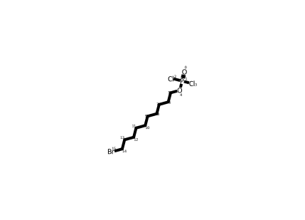 O=P(Cl)(Cl)OCCCCCCCCCCBr